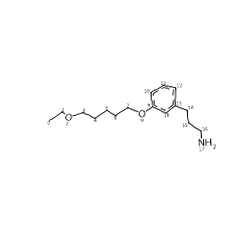 CCOCCCCCOc1cccc(CCCN)c1